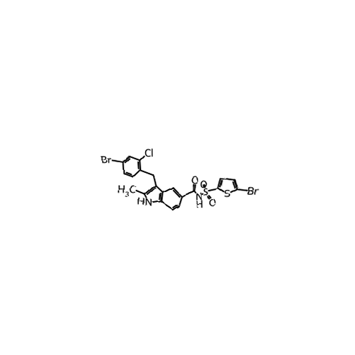 Cc1[nH]c2ccc(C(=O)NS(=O)(=O)c3ccc(Br)s3)cc2c1Cc1ccc(Br)cc1Cl